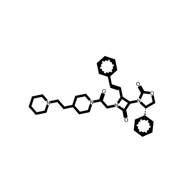 O=C(CN1C(=O)C(N2C(=O)OC[C@@H]2c2ccccc2)C1C=Cc1ccccc1)N1CCC(CCN2CCCCC2)CC1